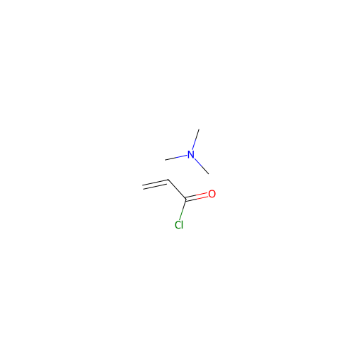 C=CC(=O)Cl.CN(C)C